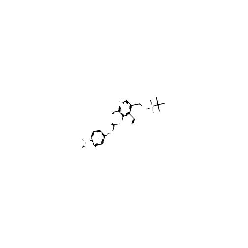 Cc1ncc(CO[Si](C)(C)C(C)(C)C)c(C=O)c1OC(=O)Oc1ccc([N+](=O)[O-])cc1